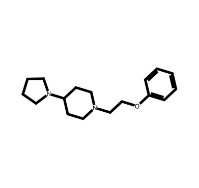 c1ccc(OCCN2CCC(N3CCCC3)CC2)cc1